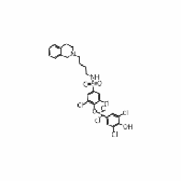 O=S(=O)(NCCCCN1CCc2ccccc2C1)c1cc(Cl)c(OS(=O)(=O)c2cc(Cl)c(O)c(Cl)c2)c(Cl)c1